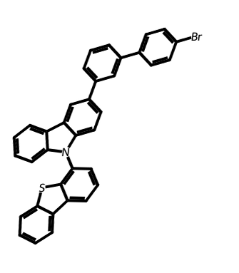 Brc1ccc(-c2cccc(-c3ccc4c(c3)c3ccccc3n4-c3cccc4c3sc3ccccc34)c2)cc1